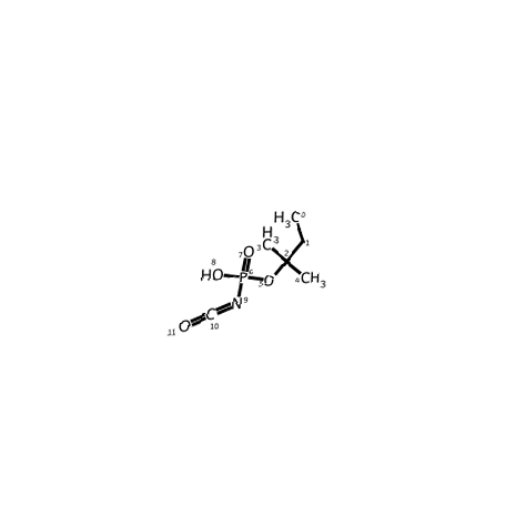 CCC(C)(C)OP(=O)(O)N=C=O